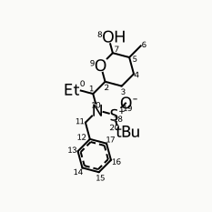 CCC(C1CCC(C)C(O)O1)N(Cc1ccccc1)[S+]([O-])C(C)(C)C